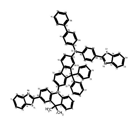 CC1(C)c2ccccc2N(c2ccc3c(c2)C(c2ccccc2)(c2ccccc2)c2cc(N(c4ccc(-c5ccccc5)cc4)c4ccc(-c5nc6ccccc6s5)cc4)ccc2-3)c2ccc(-c3nc4ccccc4s3)cc21